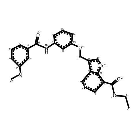 CCOC(=O)c1cncc2c(COc3cccc(NC(=O)c4cccc(OC)c4)c3)csc12